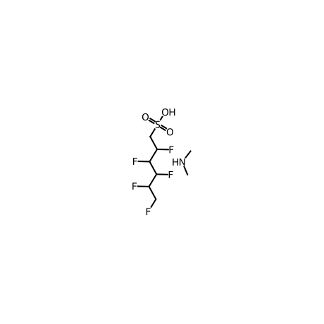 CNC.O=S(=O)(O)CC(F)C(F)C(F)C(F)CF